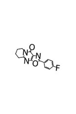 O=c1c2nc(-c3ccc(F)cc3)oc2nc2n1CCCC2